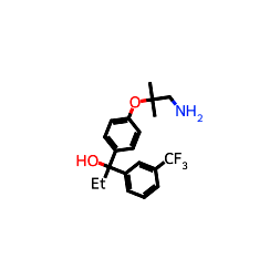 CCC(O)(c1ccc(OC(C)(C)CN)cc1)c1cccc(C(F)(F)F)c1